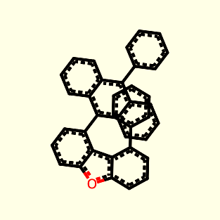 c1ccc(-c2c3ccccc3c(-c3cccc4oc5cccc(-c6ccccc6)c5c34)c3ccccc23)cc1